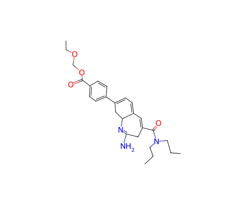 CCCN(CCC)C(=O)C1=CC2=CC=C(c3ccc(C(=O)OCOCC)cc3)CC2N=C(N)C1